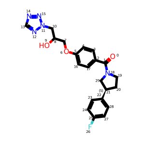 O=C(c1ccc(OCC(O)Cn2ncnn2)cc1)N1CC[C@@H](c2ccc(F)cc2)C1